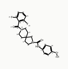 CCOc1ccc(NC(=O)N2CCC3(CCN(C(=O)c4c(F)cccc4F)CC3)C2)cc1